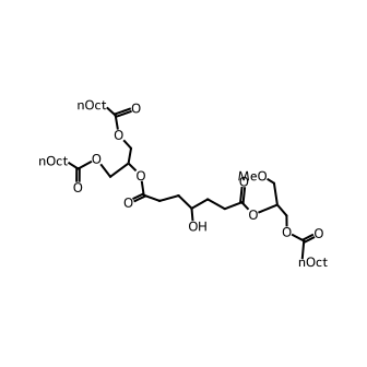 CCCCCCCCC(=O)OCC(COC)OC(=O)CCC(O)CCC(=O)OC(COC(=O)CCCCCCCC)COC(=O)CCCCCCCC